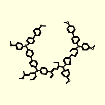 C=C/C(=C\C=C(/CC)N(c1ccc(C/C=C\C(=C/C)N(c2ccc(OC)cc2)c2ccc(-c3ccc(OC)cc3)cc2)cc1)c1ccc(OC)cc1)c1ccc(N(C(/C=C\C)=C/C=C(\C)OC)c2ccc(-c3ccc(N(c4ccc(OC)cc4)c4ccc(-c5ccc(OC)cc5)cc4)cc3)cc2)cc1